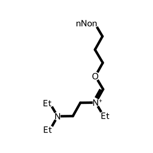 CCCCCCCCCCCCOC=[N+](CC)CCN(CC)CC